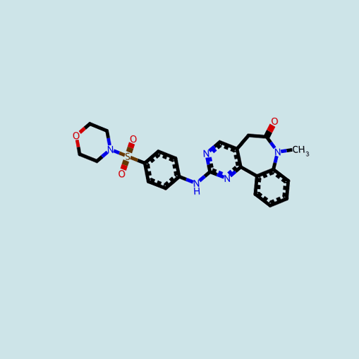 CN1C(=O)Cc2cnc(Nc3ccc(S(=O)(=O)N4CCOCC4)cc3)nc2-c2ccccc21